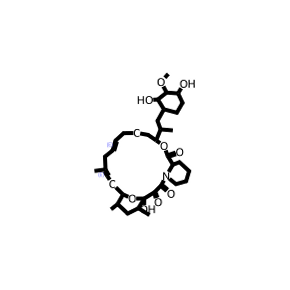 COC1C(O)CCC(CC(C)C2CCC/C=C/C/C(C)=C/CC3OC(O)(C(=O)C(=O)N4CCCCC4C(=O)O2)C(C)CC3C)C1O